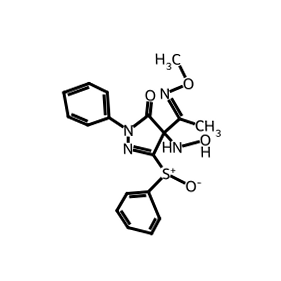 CON=C(C)C1(NO)C(=O)N(c2ccccc2)N=C1[S+]([O-])c1ccccc1